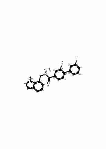 CN(Cc1cccc2cn[nH]c12)C(=O)c1ccc(-c2cccc(F)c2)c(Cl)c1